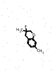 Cc1ccc2c(c1)OCC(C)(F)C2